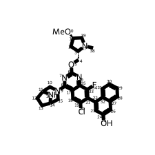 CO[C@@H]1C[C@@H](COc2nc(N3CC4CCC(C3)N4)c3cc(Cl)c(-c4cc(O)cc5ccccc45)c(F)c3n2)N(C)C1